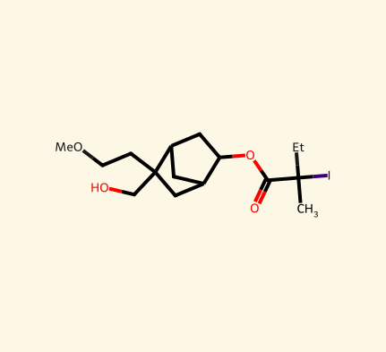 CCC(C)(I)C(=O)OC1CC2CC1CC2(CO)CCOC